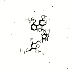 C/C=C(\C=C(\F)CCOc1nnc(NC(=O)c2cnc(C)cc2-c2c(F)cccc2OC)s1)C(C)=O